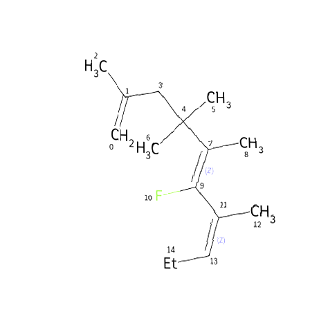 C=C(C)CC(C)(C)/C(C)=C(F)/C(C)=C\CC